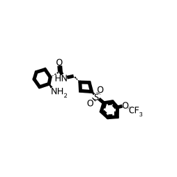 N[C@H]1CCCC[C@@H]1C(=O)NC[C@H]1C[C@H](S(=O)(=O)c2cccc(OC(F)(F)F)c2)C1